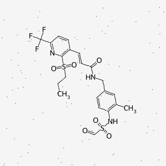 CCCS(=O)(=O)c1nc(C(F)(F)F)ccc1C=CC(=O)NCc1ccc(NS(=O)(=O)C=O)c(C)c1